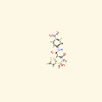 Cc1cc2c(s1)C(C(=O)Nc1ccc([N+](=O)[O-])cc1)C(=O)N(C)S2(=O)=O